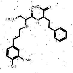 COC(=O)C(CCc1ccccc1)NC(=O)[C@H](CC(=O)O)NCCCc1ccc(O)c(OC)c1